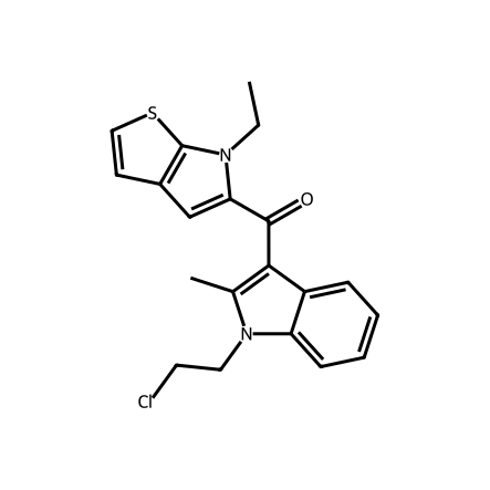 CCn1c(C(=O)c2c(C)n(CCCl)c3ccccc23)cc2ccsc21